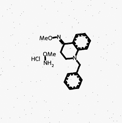 CON.CON=C1CCN(Cc2ccccc2)c2ccccc21.Cl